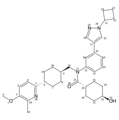 COc1ccc([C@H]2CC[C@H](CN(c3cccc(-c4cnn(C5CCC5)c4)c3)C(=O)[C@H]3CC[C@H](O)CC3)CC2)nc1C